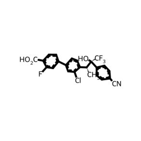 C[C@H](c1ccc(-c2ccc(C(=O)O)c(F)c2)cc1Cl)[C@@](O)(c1ccc(C#N)cc1)C(F)(F)F